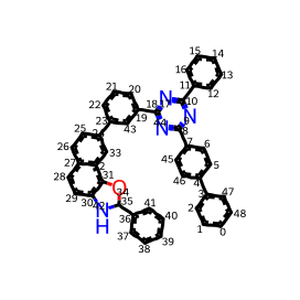 c1ccc(-c2ccc(-c3nc(-c4ccccc4)nc(-c4cccc(-c5ccc6ccc7c(c6c5)OC(c5ccccc5)N7)c4)n3)cc2)cc1